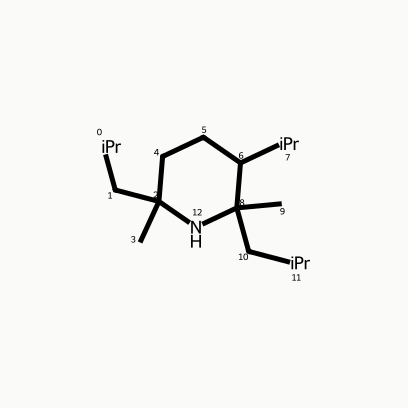 CC(C)CC1(C)CCC(C(C)C)C(C)(CC(C)C)N1